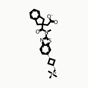 CN(C(=O)C1(CC(=O)[O-])Cc2ccccc2C1)c1nc2ccc([C@H]3C[C@@H](C[N+](C)(C)C)C3)cc2s1